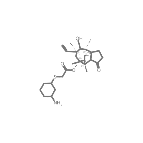 C=C[C@]1(C)C[C@@H](OC(=O)CSC2CCCC(N)C2)[C@]2(C)C(C)CCC3(CCC(=O)C32)[C@@H](C)C1O